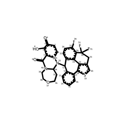 O=C1c2c(O)c(=O)ccn2N(C2c3ccccc3-c3scc4c3-c3c2ccc(F)c3C(F)(F)C4)C2CCOCCN12